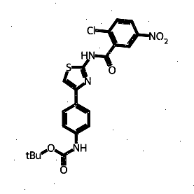 CC(C)(C)OC(=O)Nc1ccc(-c2csc(NC(=O)c3cc([N+](=O)[O-])ccc3Cl)n2)cc1